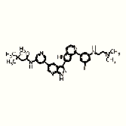 CN(C)CCNc1cc(F)cc(-c2nccc3[nH]c(-c4n[nH]c5ncc(-c6cncc(NC(=O)CC(C)(C)C)c6)cc45)cc23)c1